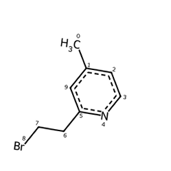 Cc1ccnc(CCBr)c1